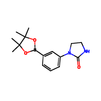 CC1(C)OB(c2cccc(N3CCNC3=O)c2)OC1(C)C